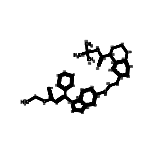 CCOC(=O)C=C(c1ccccc1)n1ccc2cc(OCCc3ccc4c(n3)N(C(=O)OC(C)(C)C)CCC4)ccc21